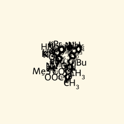 CCCCc1nc(C)n(Cc2scc(C)c2C(=O)[O-])c(=O)c1Cc1ccc(-c2ccccc2-c2nnn[nH]2)cc1.CCCCc1nc(SC)c(C(=O)[O-])n1Cc1ccc(-c2ccccc2)c(S(=O)(=O)NC(=O)NCCC)c1.[K+].[K+]